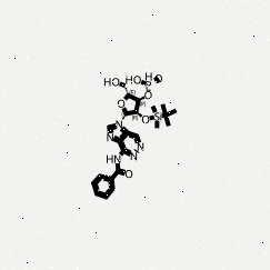 CC(C)(C)[Si](C)(C)O[C@@H]1[C@H](O[PH](=O)O)[C@@H](CO)O[C@H]1n1cnc2c(NC(=O)c3ccccc3)nncc21